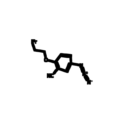 CC(C)CCOc1ccc(N=[N+]=[N-])cc1C#N